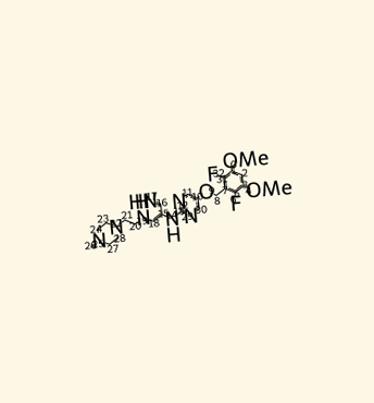 COc1cc(OC)c(F)c(COc2cnc(N/C(C=N)=C/NCCN3CCN(C)CC3)nc2)c1F